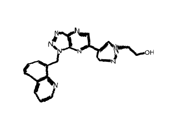 OCCn1cc(-c2cnc3nnn(Cc4cccc5cccnc45)c3n2)cn1